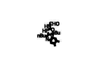 CCCCC1=Nc2cc(C)c(C)cc2N(CCCC)C1PC(=O)NC=O